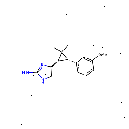 COc1cccc([C@@H]2[C@@H](c3c[nH]c(N)n3)C2(C)C)c1